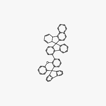 C1=CC2c3c(ccc4ccccc34)C3(c4ccccc4-c4c(-c5cccc6c5Oc5ccccc5C65c6ccccc6-c6ccccc65)cccc43)C2C=C1